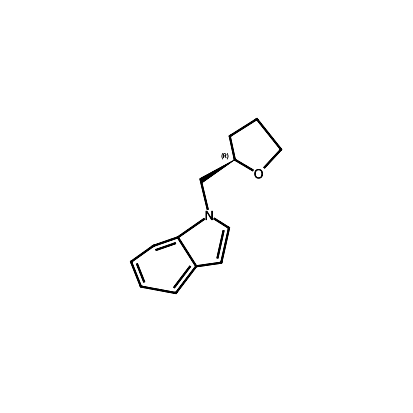 c1ccc2c(c1)ccn2C[C@H]1CCCO1